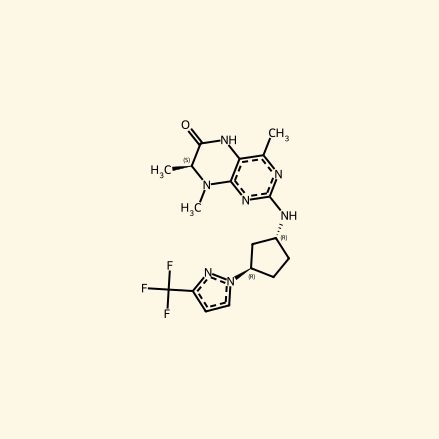 Cc1nc(N[C@@H]2CC[C@@H](n3ccc(C(F)(F)F)n3)C2)nc2c1NC(=O)[C@H](C)N2C